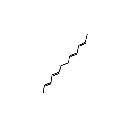 CC=CC=C[CH]CC=CC=CC